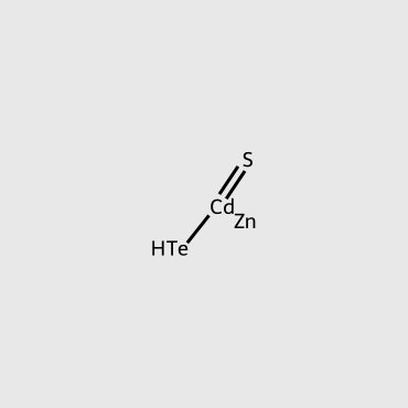 [S]=[Cd][TeH].[Zn]